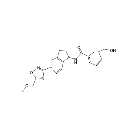 COCc1nc(-c2ccc3c(c2)CCC3NC(=O)c2cccc(CO)c2)no1